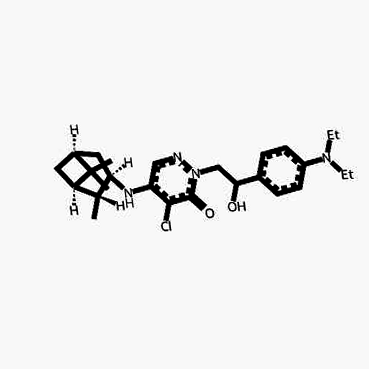 CCN(CC)c1ccc(C(O)Cn2ncc(N[C@@H]3C[C@@H]4C[C@H]([C@H]3C)C4(C)C)c(Cl)c2=O)cc1